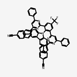 N#Cc1ccc(-c2ccc3c(c2)c2cc(-c4ccc(C#N)cc4)ccc2n3-c2c(-c3cc(-c4ccccc4)nc(-c4ccccc4)n3)cc(C(F)(F)F)cc2-c2nc(-c3ccccc3)cc(-c3ccccc3)n2)cc1